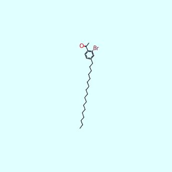 CCCCCCCCCCCCCCCCCCc1ccc(C(C)=O)c(Br)c1